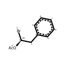 CC(=O)O[C@@H](Br)Cc1ccccc1